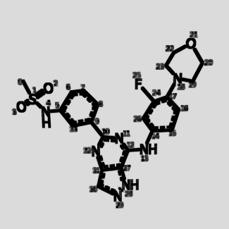 CS(=O)(=O)Nc1cccc(-c2nc(Nc3ccc(N4CCOCC4)c(F)c3)c3[nH]ncc3n2)c1